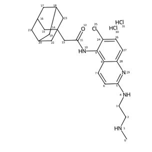 CNCCNc1ccc2c(NC(=O)CC34CC5CC(CC(C5)C3)C4)c(Cl)ccc2n1.Cl.Cl